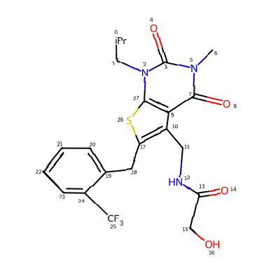 CC(C)Cn1c(=O)n(C)c(=O)c2c(CNC(=O)CO)c(Cc3ccccc3C(F)(F)F)sc21